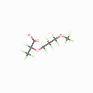 O=C(O)C(F)(OC(F)(F)C(F)(F)C(F)(F)OC(F)(F)F)C(F)(F)F